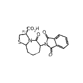 O=C(O)[C@@H]1CSC2CCCC(N3C(=O)c4ccccc4C3=O)C(=O)N21